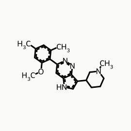 COc1cc(C)cc(C)c1-c1cc2[nH]cc(C3CCCN(C)C3)c2nn1